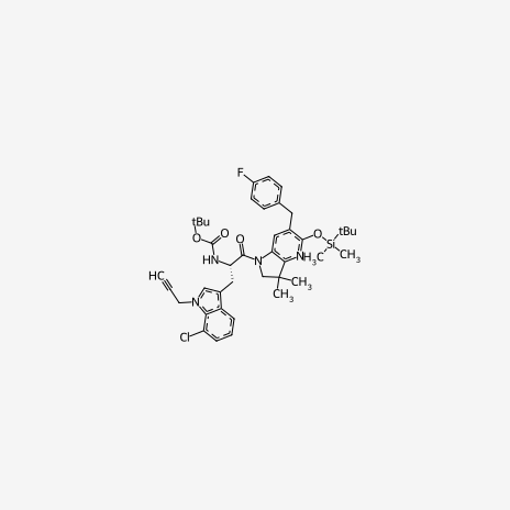 C#CCn1cc(C[C@H](NC(=O)OC(C)(C)C)C(=O)N2CC(C)(C)c3nc(O[Si](C)(C)C(C)(C)C)c(Cc4ccc(F)cc4)cc32)c2cccc(Cl)c21